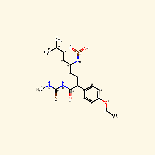 CCOc1ccc(C(CCC(CCC(C)C)N=S(=O)=O)C(=O)NC(=S)NC)cc1